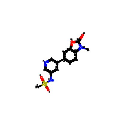 CC(C)S(=O)(=O)Nc1cncc(-c2ccc3c(c2)oc(=O)n3C)c1